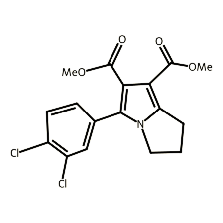 COC(=O)c1c(C(=O)OC)c(-c2ccc(Cl)c(Cl)c2)n2c1CCC2